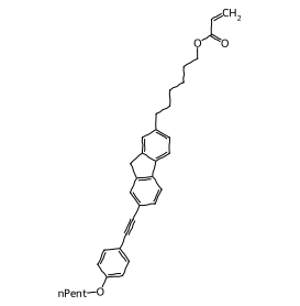 C=CC(=O)OCCCCCCc1ccc2c(c1)Cc1cc(C#Cc3ccc(OCCCCC)cc3)ccc1-2